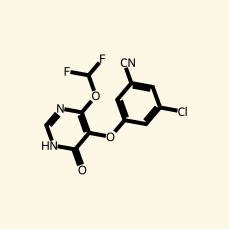 N#Cc1cc(Cl)cc(Oc2c(OC(F)F)nc[nH]c2=O)c1